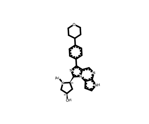 CC(=O)N1C[C@H](O)C[C@@H]1c1nc(-c2ccc(C3CCOCC3)cc2)c2cnc3[nH]ccc3n12